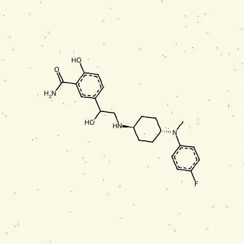 CN(c1ccc(F)cc1)[C@H]1CC[C@H](NCC(O)c2ccc(O)c(C(N)=O)c2)CC1